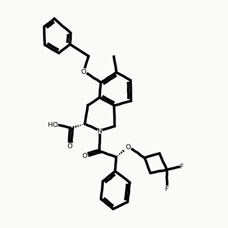 Cc1ccc2c(c1OCc1ccccc1)C[C@@H](C(=O)O)N(C(=O)[C@H](OC1CC(F)(F)C1)c1ccccc1)C2